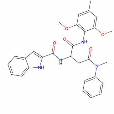 COc1cc(C)cc(OC)c1NC(=O)C(CC(=O)N(C)c1ccccc1)NC(=O)c1cc2ccccc2[nH]1